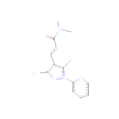 CSc1nn(-c2ccccn2)c(C)c1C=CC(=O)N(C)C